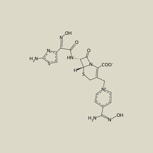 N/C(=N/O)c1cc[n+](CC2=C(C(=O)[O-])N3C(=O)[C@@H](NC(=O)/C(=N\O)c4csc(N)n4)[C@H]3SC2)cc1